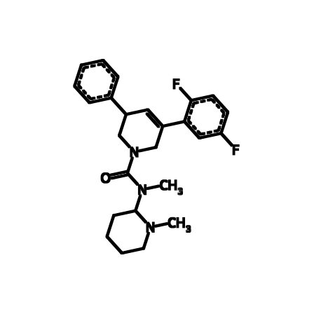 CN1CCCCC1N(C)C(=O)N1CC(c2cc(F)ccc2F)=CC(c2ccccc2)C1